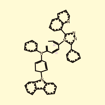 C=C(/C=C\C(=C/C)n1c(-c2ccccc2)nnc1-c1cccc2cccnc12)N(C1=CCC(n2c3ccccc3c3ccccc32)C=C1)c1ccccc1